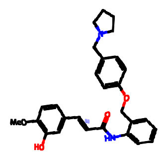 COc1ccc(/C=C/C(=O)Nc2ccccc2COc2ccc(CN3CCCC3)cc2)cc1O